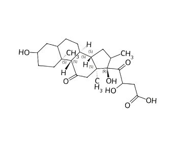 CC1C[C@H]2[C@@H]3CCC4CC(O)CC[C@]4(C)[C@H]3C(=O)C[C@]2(C)[C@@]1(O)C(=O)C(O)CC(=O)O